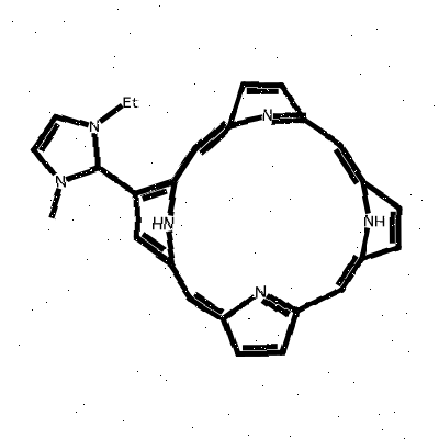 CCN1C=CN(C)C1c1cc2cc3nc(cc4ccc(cc5nc(cc1[nH]2)C=C5)[nH]4)C=C3